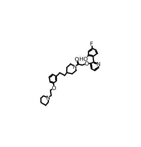 O=C(COc1cccnc1-c1ccc(F)cc1O)N1CCC(CCc2cccc(OCCN3CCCCC3)c2)CC1